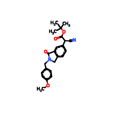 COc1ccc(CN2Cc3ccc(C(C#N)C(=O)OC(C)(C)C)cc3C2=O)cc1